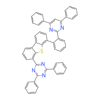 c1ccc(-c2cc(-c3ccccc3)nc(-c3ccccc3-c3cccc4c3sc3c(-c5nc(-c6ccccc6)nc(-c6ccccc6)n5)cccc34)n2)cc1